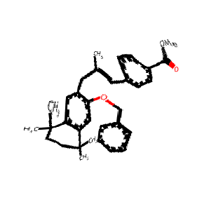 COC(=O)c1ccc(C=C(C)Cc2cc3c(cc2OCc2ccccc2)C(C)(C)CCC3(C)C)cc1